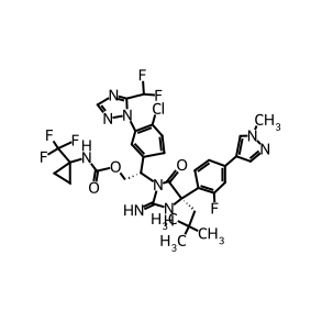 Cn1cc(-c2ccc([C@@]3(CC(C)(C)C)NC(=N)N([C@H](COC(=O)NC4(C(F)(F)F)CC4)c4ccc(Cl)c(-n5ncnc5C(F)F)c4)C3=O)c(F)c2)cn1